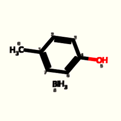 Cc1ccc(O)cc1.[BiH3]